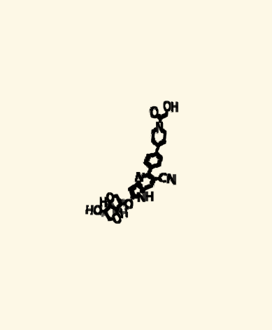 N#Cc1cc2[nH]c(O[C@@H]3CO[C@H]4[C@@H]3OC[C@H]4O)cc2nc1-c1ccc(C2=CCN(C(=O)CO)CC2)cc1